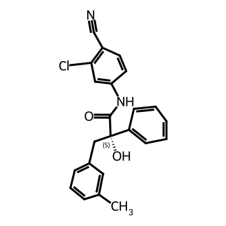 Cc1cccc(C[C@@](O)(C(=O)Nc2ccc(C#N)c(Cl)c2)c2ccccc2)c1